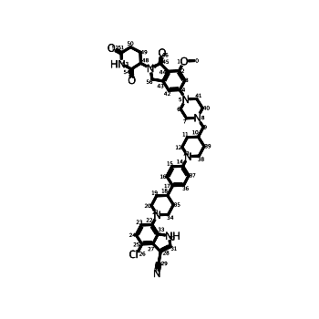 COc1cc(N2CCN(CC3CCN(c4ccc(C5CCN(c6ccc(Cl)c7c(C#N)c[nH]c67)CC5)cc4)CC3)CC2)cc2c1C(=O)N(C1CCC(=O)NC1=O)C2